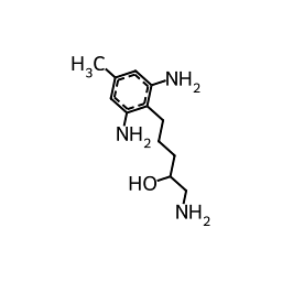 Cc1cc(N)c(CCCC(O)CN)c(N)c1